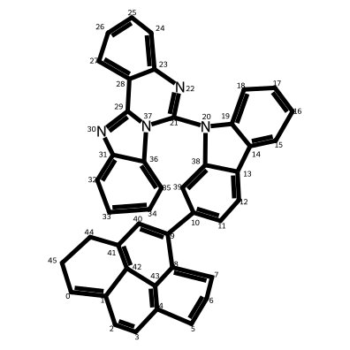 C1=c2ccc3cccc4c(-c5ccc6c7ccccc7n(-c7nc8ccccc8c8nc9ccccc9n78)c6c5)cc(c2c34)CC1